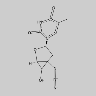 Cc1cn([C@H]2CC3(N=[N+]=[N-])C(O)[C@H]3O2)c(=O)[nH]c1=O